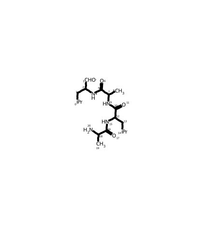 CC(C)CC([C]=O)NC(=O)C(C)NC(=O)C(CC(C)C)NC(=O)C(C)N